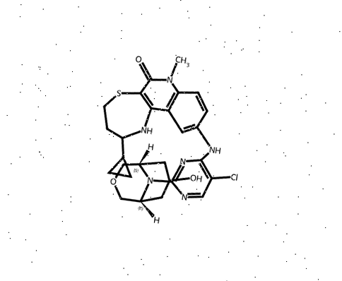 Cn1c(=O)c2c(c3cc(Nc4nc(N5[C@@H]6COC[C@H]5CC(O)C6)ncc4Cl)ccc31)NC(C1CC1)CCS2